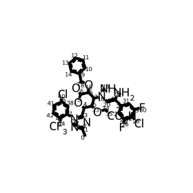 Cc1nc(C2OC3OC(c4ccccc4)OC3C(N(N)/C=C(\N)c3cc(F)c(Cl)c(F)c3)C2OCC(=O)O)n(-c2cc(Cl)ccc2C(F)(F)F)n1